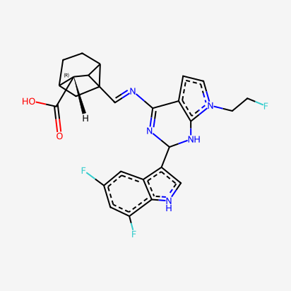 O=C(O)[C@@H]1C2CCC(CC2)C1C=NC1=NC(c2c[nH]c3c(F)cc(F)cc23)Nc2c1ccn2CCF